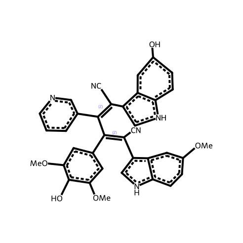 COc1ccc2[nH]cc(/C(C#N)=C(/C(=C(/C#N)c3c[nH]c4ccc(O)cc34)c3cccnc3)c3cc(OC)c(O)c(OC)c3)c2c1